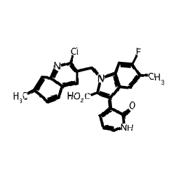 Cc1ccc2cc(Cn3c(C(=O)O)c(-c4ccc[nH]c4=O)c4cc(C)c(F)cc43)c(Cl)nc2c1